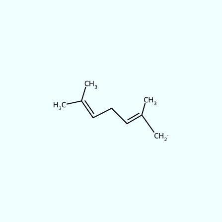 [CH2]/C(C)=C/CC=C(C)C